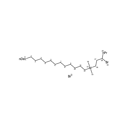 CCCCCCCCCCCCCCCCCCCCCC[N+](C)(C)CCC(Br)CCC.[Br-]